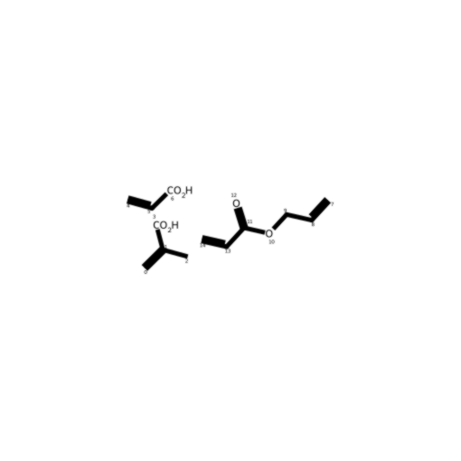 C=C(C)C(=O)O.C=CC(=O)O.C=CCOC(=O)C=C